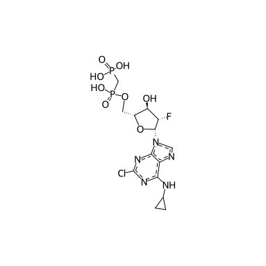 O=P(O)(O)CP(=O)(O)OC[C@H]1O[C@@H](n2cnc3c(NC4CC4)nc(Cl)nc32)[C@@H](F)[C@@H]1O